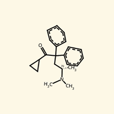 C[C@@H](CC(C(=O)C1CC1)(c1ccccc1)c1ccccc1)N(C)C